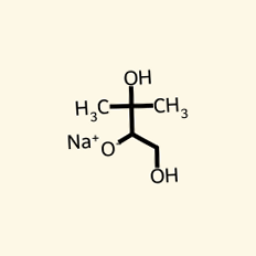 CC(C)(O)C([O-])CO.[Na+]